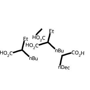 CC(=O)O.CCCCC(CC)C(=O)O.CCCCC(CC)C(=O)O.CCCCCCCCCCCC(=O)O